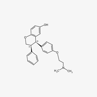 CN(C)CCOc1ccc([C@@H]2c3cc(O)ccc3OC[C@@H]2c2ccccc2)cc1